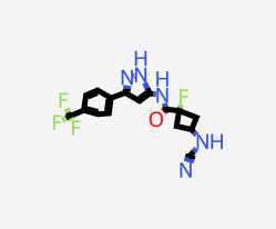 N#CNC1CC(F)(C(=O)Nc2cc(-c3ccc(C(F)(F)F)cc3)n[nH]2)C1